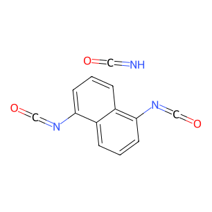 N=C=O.O=C=Nc1cccc2c(N=C=O)cccc12